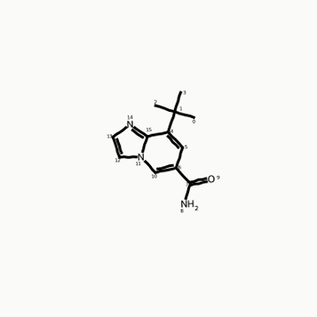 CC(C)(C)c1cc(C(N)=O)cn2ccnc12